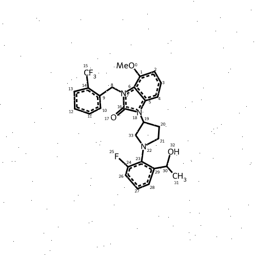 COc1cccc2c1n(Cc1ccccc1C(F)(F)F)c(=O)n2C1CCN(c2c(F)cccc2C(C)O)C1